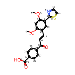 COc1cc(OC)c(-c2nccs2)cc1C=CC(=O)c1ccc(C(=O)O)cc1